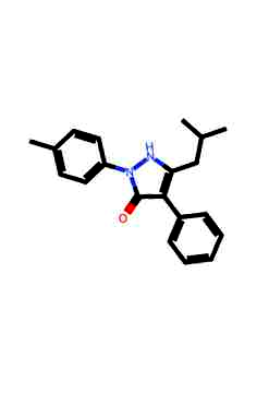 Cc1ccc(-n2[nH]c(CC(C)C)c(-c3ccccc3)c2=O)cc1